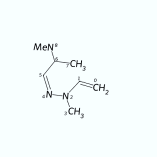 C=CN(C)/N=C\C(C)NC